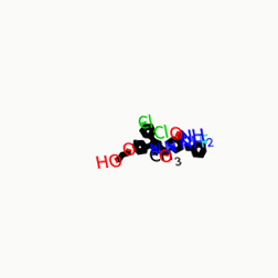 Cn1c(C(=O)N2CCC(NCC3=CC=CC(F)C3)(C(N)=O)CC2)cc(-c2ccc(Cl)cc2Cl)c1-c1ccc(OCCCO)cc1